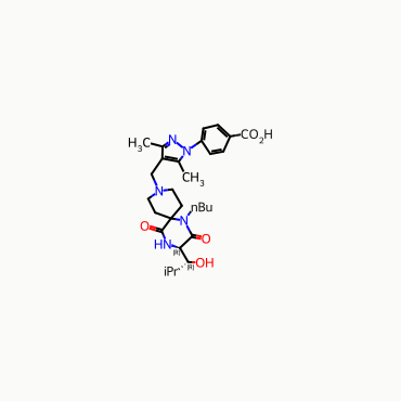 CCCCN1C(=O)[C@@H]([C@H](O)C(C)C)NC(=O)C12CCN(Cc1c(C)nn(-c3ccc(C(=O)O)cc3)c1C)CC2